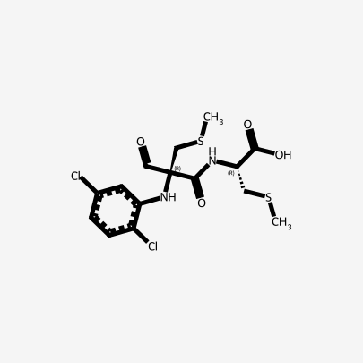 CSC[C@H](NC(=O)[C@](C=O)(CSC)Nc1cc(Cl)ccc1Cl)C(=O)O